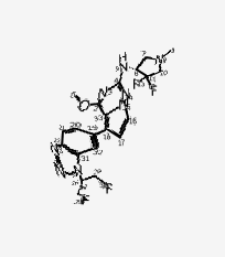 COc1nc(N[C@@H]2CN(C)CC2(F)F)nn2ccc(-c3ccc4nnn(C(CF)CF)c4c3)c12